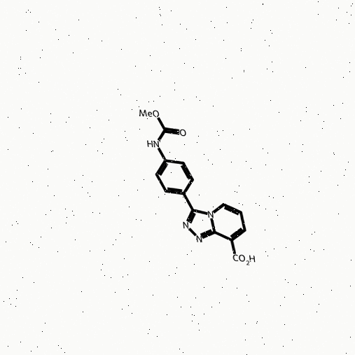 COC(=O)Nc1ccc(-c2nnc3c(C(=O)O)cccn23)cc1